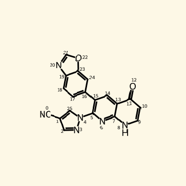 N#Cc1cnn(-c2nc3[nH]ccc(=O)c3cc2-c2ccc3ncoc3c2)c1